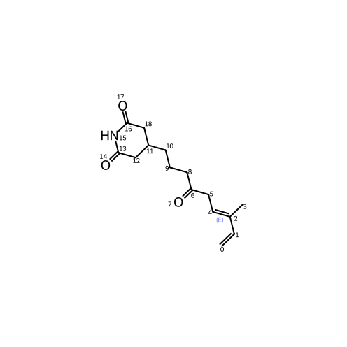 C=C/C(C)=C/CC(=O)CCCC1CC(=O)NC(=O)C1